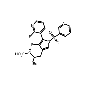 CC(C)(C)C(Cc1cn(S(=O)(=O)c2cccnc2)c(-c2cccnc2F)c1F)NC(=O)O